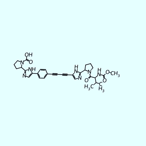 COC(=O)NC(C(=O)N1CCCC1c1ncc(C#CC#Cc2ccc(-c3cnc(C4CCCN4C(=O)O)[nH]3)cc2)[nH]1)C(C)C